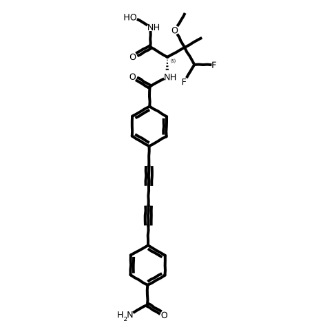 COC(C)(C(F)F)[C@H](NC(=O)c1ccc(C#CC#Cc2ccc(C(N)=O)cc2)cc1)C(=O)NO